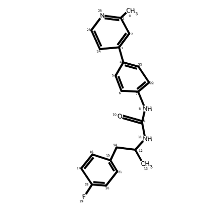 Cc1cc(-c2ccc(NC(=O)NC(C)Cc3ccc(F)cc3)cc2)ccn1